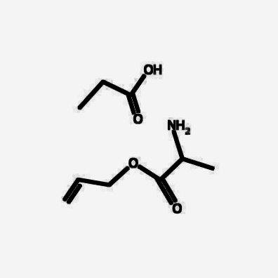 C=CCOC(=O)C(C)N.CCC(=O)O